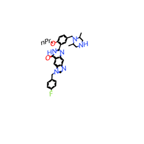 CCCOc1ccc(CN2C(C)CNCC2C)cc1-c1nc2cc3ncn(Cc4ccc(F)cc4)c3cc2c(=O)[nH]1